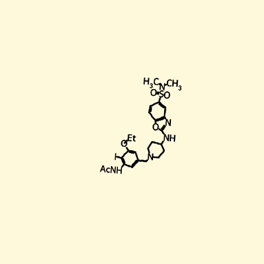 CCOc1cc(CN2CCC(Nc3nc4cc(S(=O)(=O)N(C)C)ccc4o3)CC2)cc(NC(C)=O)c1I